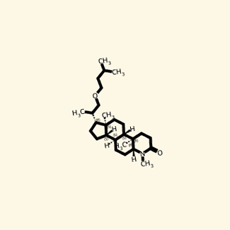 CC(C)CCOCC(C)[C@H]1CC[C@H]2[C@@H]3CC[C@H]4N(C)C(=O)CC[C@]4(C)[C@H]3CC[C@]12C